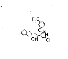 Cc1ccc(CC2CON=C(c3cc(Cl)nnc3Oc3cccc(C(F)(F)F)c3)C2)c(C)c1